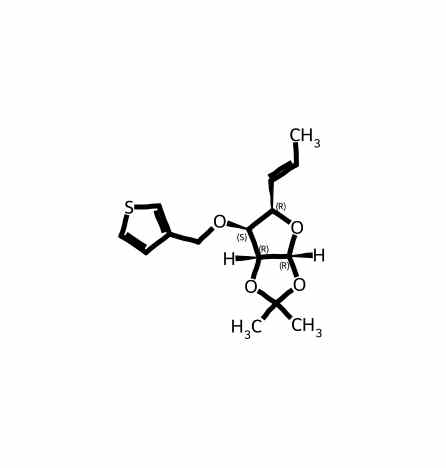 CC=C[C@H]1O[C@@H]2OC(C)(C)O[C@@H]2[C@H]1OCc1ccsc1